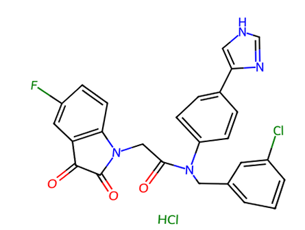 Cl.O=C1C(=O)N(CC(=O)N(Cc2cccc(Cl)c2)c2ccc(-c3c[nH]cn3)cc2)c2ccc(F)cc21